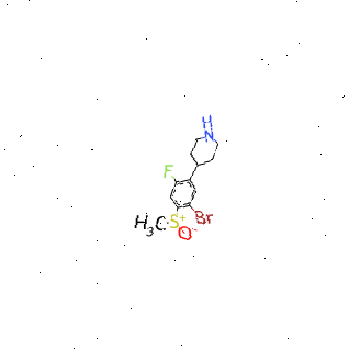 C[S+]([O-])c1cc(F)c(C2CCNCC2)cc1Br